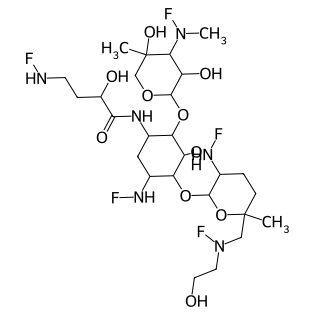 CN(F)C1C(O)C(OC2C(NC(=O)C(O)CCNF)CC(NF)C(OC3OC(C)(CN(F)CCO)CCC3NF)C2O)OCC1(C)O